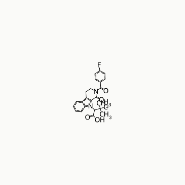 CC(C)(C)C(C(=O)O)n1c2c(c3ccccc31)CCN(C(=O)c1ccc(F)cc1)C2=O